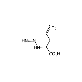 C=CCC(NN=N)C(=O)O